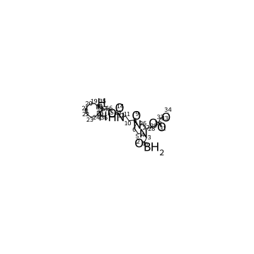 BC(=O)CN1CCN(C(=O)CCNC(=O)OC[C@@H]2[C@@H]3CCC#CCC[C@@H]32)CC1COC(=O)COC